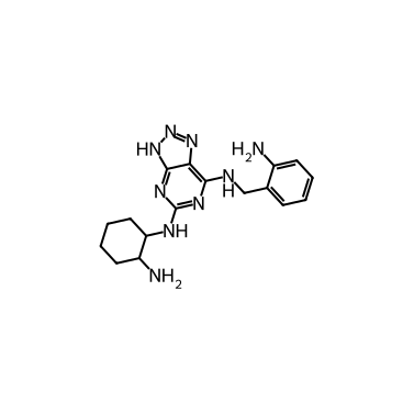 Nc1ccccc1CNc1nc(NC2CCCCC2N)nc2[nH]nnc12